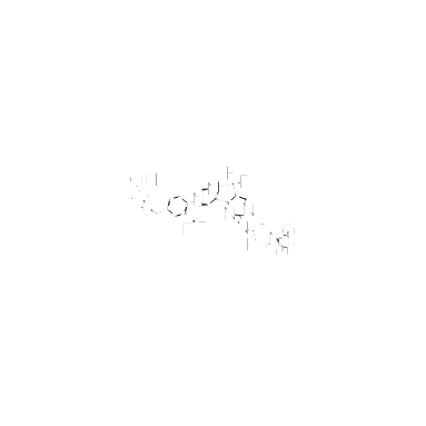 CS(=O)(=O)N1CCC(Nc2ncc(C(F)(F)F)c(-c3cn(-c4ccc(CN5CC[C@H](O)C5)cc4C(F)(F)F)cn3)n2)CC1